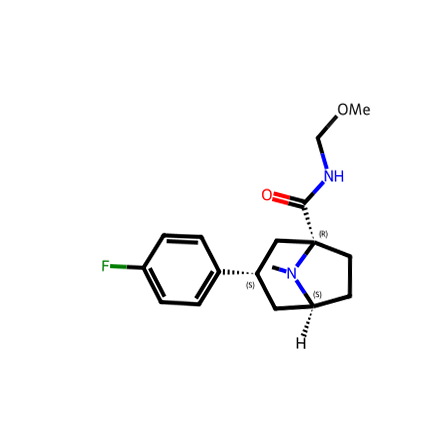 COCNC(=O)[C@@]12CC[C@@H](C[C@H](c3ccc(F)cc3)C1)N2C